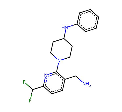 NCc1ccc(C(F)F)nc1N1CCC(Nc2ccccc2)CC1